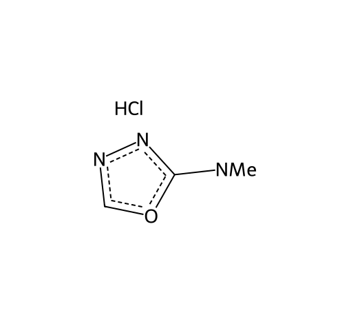 CNc1nnco1.Cl